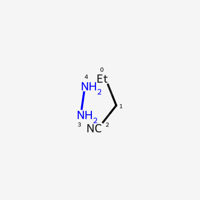 CCCC#N.NN